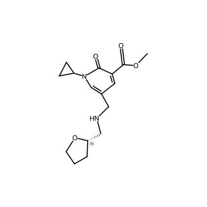 COC(=O)c1cc(CNC[C@@H]2CCCO2)cn(C2CC2)c1=O